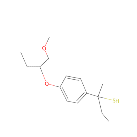 CCC(COC)Oc1ccc(C(C)(S)CC)cc1